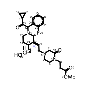 COC(=O)CCN1CCN(C/C=C2/CN(C(C(=O)C3CC3)c3ccccc3F)CCC2S)CC1=O.Cl.Cl